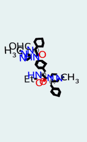 CCC(=O)N[C@H](Cc1ccc(NC(=O)[C@H](C2CCCCC2)N(C=O)c2ccnn2C)cc1)C(=O)N1CCN(C)C[C@H]1Cc1ccccc1